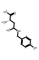 N[C@@H](CC(O)NCc1ccc(O)cc1)C(=O)O